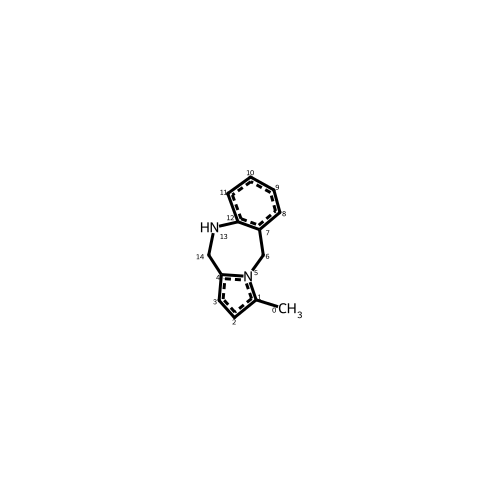 Cc1ccc2n1Cc1ccccc1NC2